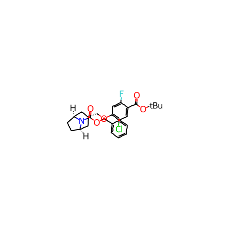 CC(C)(C)OC(=O)c1cc(Cl)c(OC[C@@H]2C[C@H]3CC[C@@H](C2)N3C(=O)OCc2ccccc2)cc1F